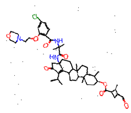 CC(C)C1=C2C3CCC4C(C)(CCC5C(C)C(OC(=O)C6CC(C=O)C6C)CCC54C)C3CCC2(NC(=O)C(C)(C)NC(=O)c2ccc(Cl)cc2OCCN2CCOCC2)CC1=O